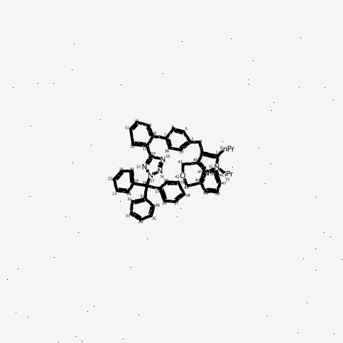 CCCc1c(Cc2ccc(-c3ccccc3-c3nnn(C(c4ccccc4)(c4ccccc4)c4ccccc4)n3)cc2)c(COCc2ccccc2)nn1C(C)C